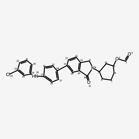 O=COC1CCCC(N2Cc3ccc(-c4ccc(Nc5cccc(Cl)c5)cc4)cc3C2=O)C1